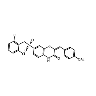 CC(=O)Oc1ccc(C=C2Sc3cc(S(=O)(=O)Cc4c(Cl)cccc4Cl)ccc3NC2=O)cc1